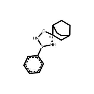 c1ccc(N2NO[C@@]3(CC4CCC3CC4)N2)cc1